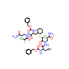 CC(C)CC(NC(=O)OCc1ccccc1)C(=O)NN(CCC(N)=O)C(=O)C(F)Cl.NC(=O)CCN(NC(=O)C(CC1CCCCC1)NC(=O)OCc1ccccc1)C(=O)[C@H](F)Cl